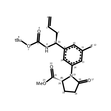 C=CC[C@H](NC(=O)OC(C)(C)C)c1cc(F)cc(N2C(=O)CC[C@@H]2C(=O)OC)c1